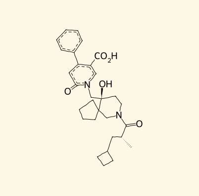 C[C@H](CC1CCC1)C(=O)N1CC[C@@](O)(Cn2cc(C(=O)O)c(-c3ccccc3)cc2=O)C2(CCCC2)C1